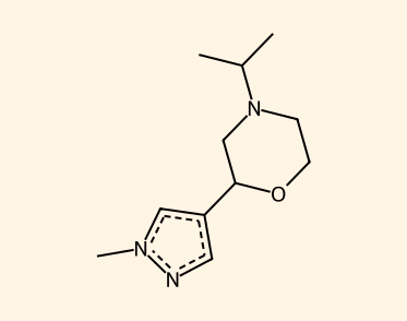 CC(C)N1CCOC(c2cnn(C)c2)C1